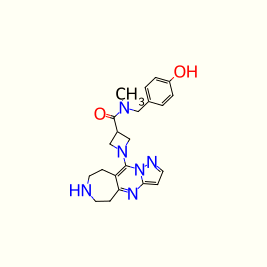 CN(Cc1ccc(O)cc1)C(=O)C1CN(c2c3c(nc4ccnn24)CCNCC3)C1